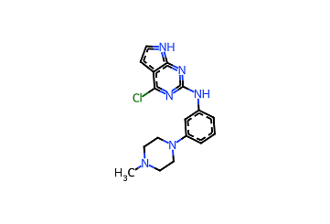 CN1CCN(c2cccc(Nc3nc(Cl)c4cc[nH]c4n3)c2)CC1